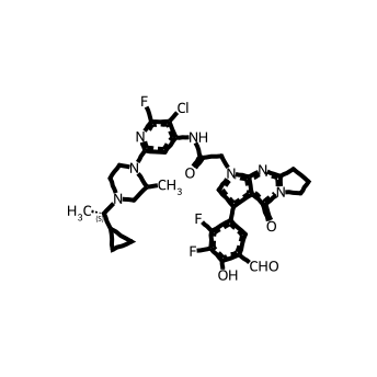 CC1CN([C@@H](C)C2CC2)CCN1c1cc(NC(=O)Cn2cc(-c3cc(C=O)c(O)c(F)c3F)c3c(=O)n4c(nc32)CCC4)c(Cl)c(F)n1